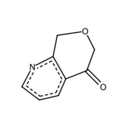 O=C1COCc2ncccc21